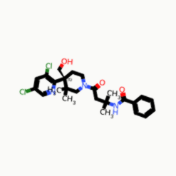 CC(C)(CC(=O)N1CC[C@@](CO)(c2ncc(Cl)cc2Cl)C(C)(C)C1)NC(=O)c1ccccc1